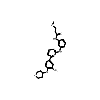 COCCC(=O)Nc1cccc(Nc2nccc(-c3ccc(OC4CCOCC4)c(N)c3)n2)c1